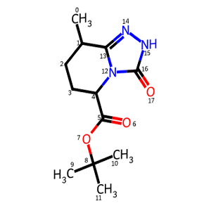 CC1CCC(C(=O)OC(C)(C)C)n2c1n[nH]c2=O